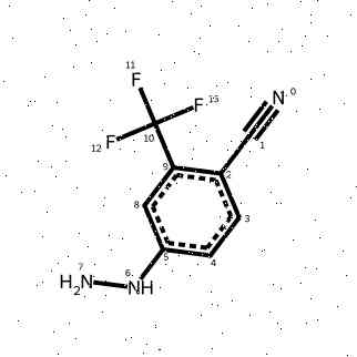 N#Cc1ccc(NN)cc1C(F)(F)F